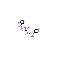 CC(C)CC(NC(=O)c1ccc(F)cc1)C(=O)NC1CCCN(C(=O)c2ccccc2I)CC1O